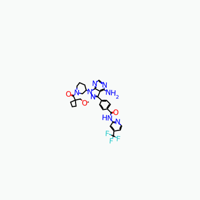 COCC1(C(=O)N2CCCC(n3nc(-c4ccc(C(=O)Nc5cc(C(F)(F)F)ccn5)cc4)c4c(N)ncnc43)C2)CCC1